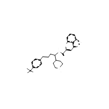 Cl.Cl.O=C(NC(CCCc1ccc(C(F)(F)F)cc1)C1CCNCC1)C1=Cc2n[nH]c3cccc(c23)S1